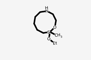 CCO[Si]1(C)CCCCCNCCO1